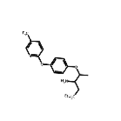 CCOC(=O)CC(N)C(C)Oc1ccc(Oc2ccc(C(F)(F)F)cn2)cc1